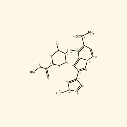 CCC1CN(C(=O)OC(C)(C)C)CCC1Nc1c(C(N)=O)cnn2cc(-c3cnn(C)c3)cc12